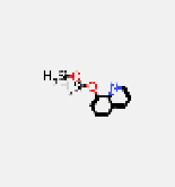 [SiH3]O[SiH2]Oc1cccc2cccnc12